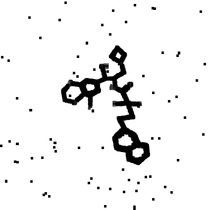 O=C(NC(CN1CCC1)C(O)c1cc(F)c2c(c1)OCCO2)C(F)(F)CCc1ccc2ccccc2c1